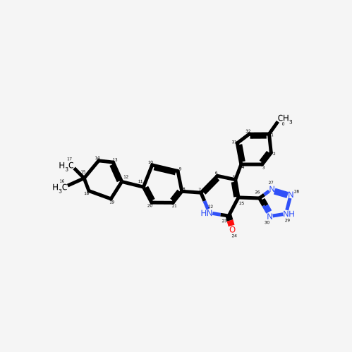 Cc1ccc(-c2cc(-c3ccc(C4=CCC(C)(C)CC4)cc3)[nH]c(=O)c2-c2nn[nH]n2)cc1